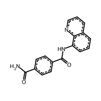 NC(=O)c1ccc(C(=O)Nc2cccc3cccnc23)cc1